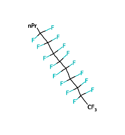 CCCC(F)(F)C(F)(F)C(F)(F)C(F)(F)C(F)(F)C(F)(F)C(F)(F)C(F)(F)C(F)(F)F